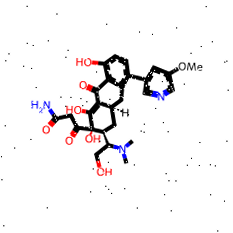 COc1cncc(-c2ccc(O)c3c2C[C@H]2C[C@@H](C(CO)N(C)C)[C@@](O)(C(=O)CC(N)=O)C(O)=C2C3=O)c1